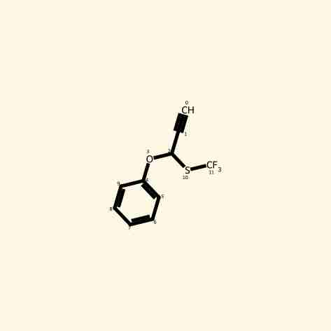 C#CC(Oc1ccccc1)SC(F)(F)F